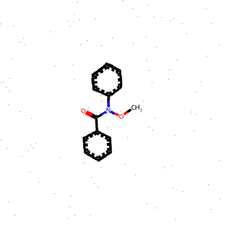 CON(C(=O)c1[c]cccc1)c1ccccc1